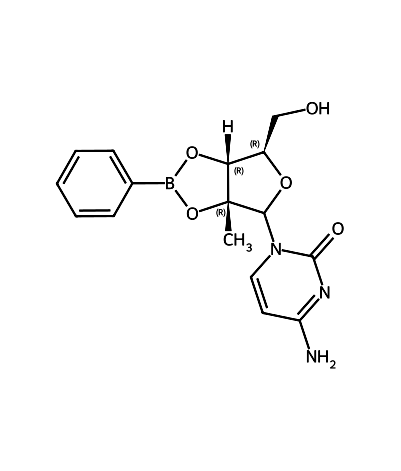 C[C@@]12OB(c3ccccc3)O[C@@H]1[C@@H](CO)OC2n1ccc(N)nc1=O